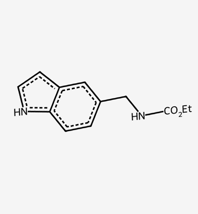 CCOC(=O)NCc1ccc2[nH]ccc2c1